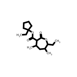 CCC1OC(=O)C(C(=O)OC2(CC)CCCC2)C(C)CC1C